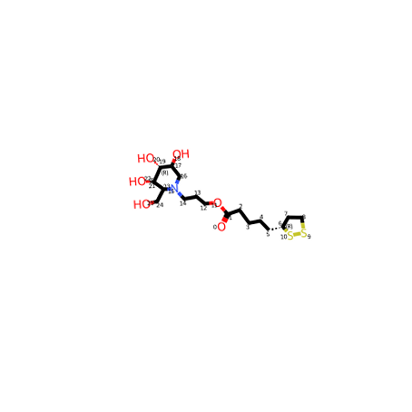 O=C(CCCC[C@@H]1CCSS1)OCCCN1CC(O)[C@@H](O)[C@H](O)C1CO